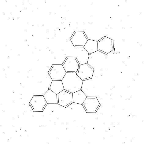 c1ccc2c(c1)ccc1c2c2c3c(cc4c5ccccc5n1c42)c1ccccc1n3-c1ccc(-n2c3ccccc3c3ccncc32)cc1